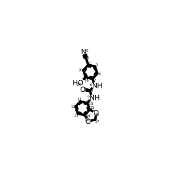 N#Cc1ccc(NC(=O)Nc2cccc3c2OCO3)c(O)c1